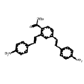 COC(=O)c1ccc(C=Cc2ccc([N+](=O)[O-])cc2)cc1C=Cc1ccc([N+](=O)[O-])cc1